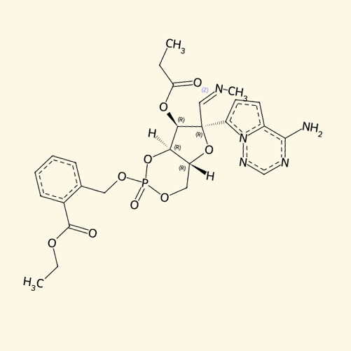 CCOC(=O)c1ccccc1COP1(=O)OC[C@H]2O[C@@](/C=N\C)(c3ccc4c(N)ncnn34)[C@H](OC(=O)CC)[C@@H]2O1